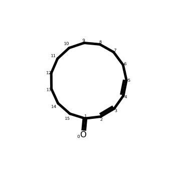 O=C1C=CC=CCCCCCCCCCC1